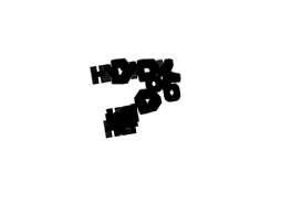 CC(C(=O)Oc1ccccc1)C(C)N1CCN(C2CCNCC2)CC1.Cl.Cl.Cl